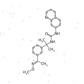 CO/N=C(\C)c1cccc(C(C)(C)NC(=O)Nc2ccc3cccnc3c2)c1